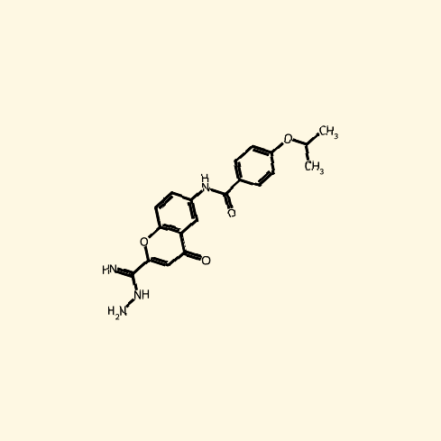 CC(C)Oc1ccc(C(=O)Nc2ccc3oc(C(=N)NN)cc(=O)c3c2)cc1